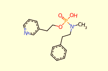 CN(CCc1ccccc1)P(=O)(O)OCCc1cccnc1